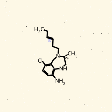 CC/C=C/CCN1Cc2c(Cl)ccc(N)c2NC[C@@H]1C